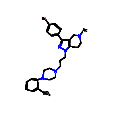 CC(=O)N1CCc2c(c(-c3ccc(Br)cc3)nn2CCCN2CCN(c3ccccc3[N+](=O)[O-])CC2)C1